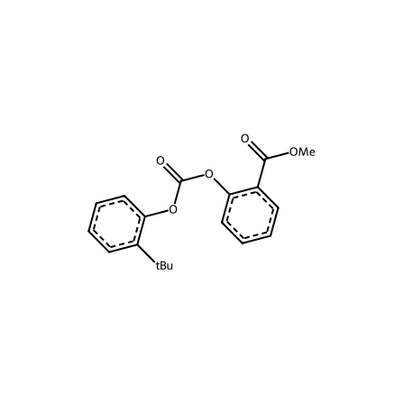 COC(=O)c1ccccc1OC(=O)Oc1ccccc1C(C)(C)C